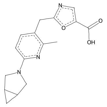 Cc1nc(N2CC3CC3C2)ccc1Cc1ncc(C(=O)O)o1